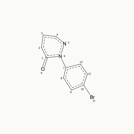 O=c1cccnn1-c1ccc(Br)cc1